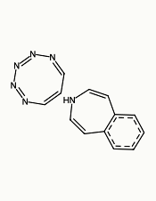 C1=CN=NN=NN=C1.C1=Cc2ccccc2C=CN1